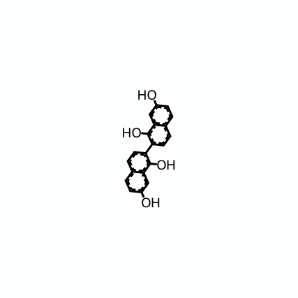 Oc1ccc2ccc(-c3ccc4ccc(O)cc4c3O)c(O)c2c1